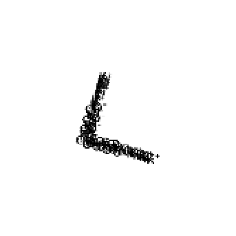 [K+].[K+].[K+].[K+].[K+].[K+].[K+].[K+].[K+].[K+].[K+].[K+].[K+].[K+].[K+].[K+].[K+].[K+].[K+].[K+].[K+].[O-][Si]([O-])([O-])F.[O-][Si]([O-])([O-])F.[O-][Si]([O-])([O-])F.[O-][Si]([O-])([O-])F.[O-][Si]([O-])([O-])F.[O-][Si]([O-])([O-])F.[O-][Si]([O-])([O-])F